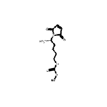 CC(C)(C)OC(=O)NCCCC[C@@H](C(=O)O)N1C(=O)C=CC1=O